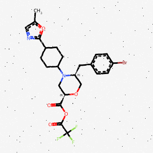 Cc1cnc(C2CCC(N3C[C@H](C(=O)OC(=O)C(F)(F)F)OC[C@@H]3Cc3ccc(Br)cc3)CC2)o1